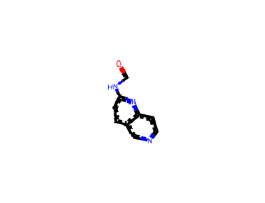 O=[C]Nc1ccc2cnccc2n1